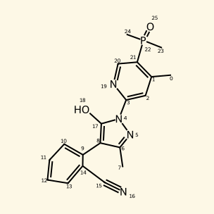 Cc1cc(-n2nc(C)c(-c3ccccc3C#N)c2O)ncc1P(C)(C)=O